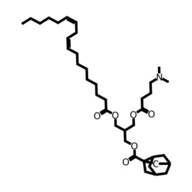 CCCCC/C=C\C/C=C\CCCCCCCC(=O)OCC(COC(=O)CCCN(C)C)COC(=O)C12CC3CC(CC1C3)C2